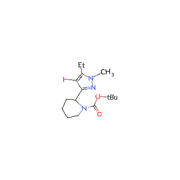 CCc1c(I)c(C2CCCCN2C(=O)OC(C)(C)C)nn1C